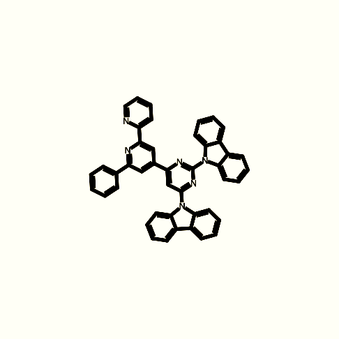 c1ccc(-c2cc(-c3cc(-n4c5ccccc5c5ccccc54)nc(-n4c5ccccc5c5ccccc54)n3)cc(-c3ccccn3)n2)cc1